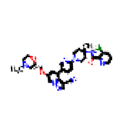 CN1CCO[C@H](COc2cc(-c3ccc(N4CCC(C)(NC(=O)c5ncccc5Cl)CC4)nc3)c3c(C#N)cnn3c2)C1